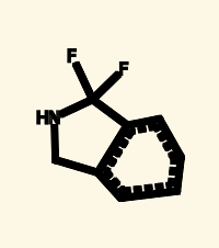 FC1(F)NCc2ccccc21